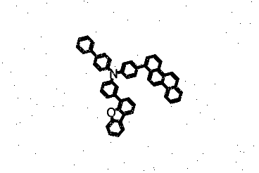 c1ccc(-c2ccc(N(c3ccc(-c4cccc5c4ccc4c6ccccc6ccc54)cc3)c3cccc(-c4cccc5c4oc4ccccc45)c3)cc2)cc1